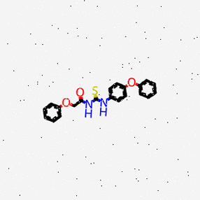 O=C(COc1ccccc1)NC(=S)Nc1ccc(Oc2ccccc2)cc1